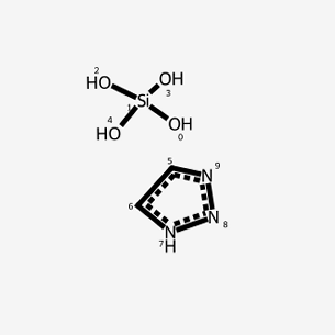 O[Si](O)(O)O.c1c[nH]nn1